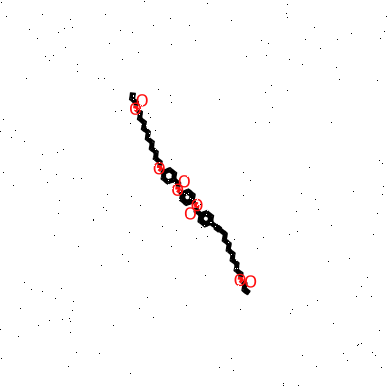 C=CC(=O)OCCCCCCCCCC#Cc1ccc(C(=O)Oc2ccc(OC(=O)C3CCC(OCCCCCCCCCCCOC(=O)C=C)CC3)cc2)cc1